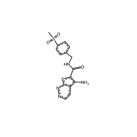 CS(=O)(=O)c1ccc(CNC(=O)c2sc3nnccc3c2N)cc1